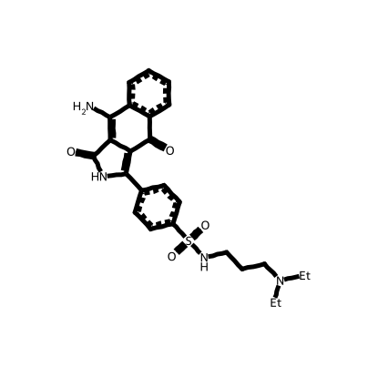 CCN(CC)CCCNS(=O)(=O)c1ccc(C2=C3C(=O)c4ccccc4C(N)=C3C(=O)N2)cc1